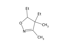 CCC1ON=C(C)C1(C)CC